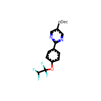 CCCCCCCCCCc1cnc(-c2ccc(OC(F)(F)C(F)F)cc2)nc1